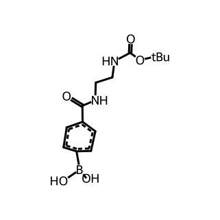 CC(C)(C)OC(=O)NCCNC(=O)c1ccc(B(O)O)cc1